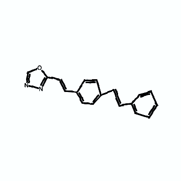 C(=Cc1ccc(C=Cc2nnco2)cc1)c1ccccc1